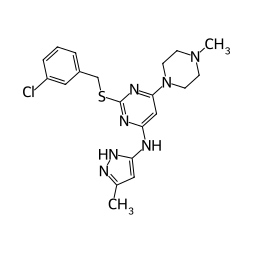 Cc1cc(Nc2cc(N3CCN(C)CC3)nc(SCc3cccc(Cl)c3)n2)[nH]n1